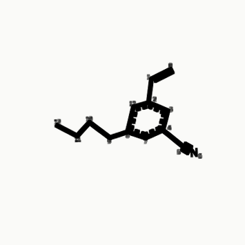 C=[C]c1cc(C#N)cc(CCCC)c1